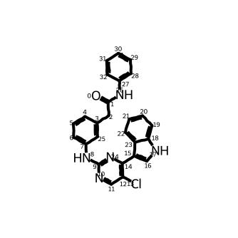 O=C(Cc1cccc(Nc2ncc(Cl)c(-c3c[nH]c4ccccc34)n2)c1)Nc1cc[c]cc1